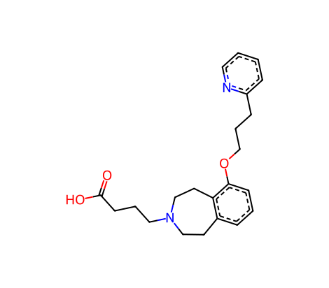 O=C(O)CCCN1CCc2cccc(OCCCc3ccccn3)c2CC1